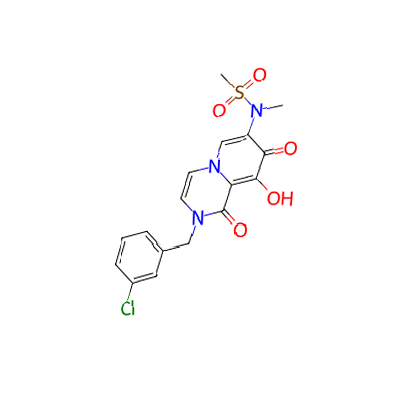 CN(c1cn2ccn(Cc3cccc(Cl)c3)c(=O)c2c(O)c1=O)S(C)(=O)=O